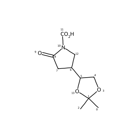 CC1(C)OCC(C2CC(=O)N(C(=O)O)C2)O1